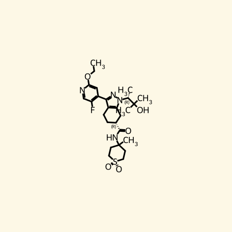 CCOc1cc(-c2nn([C@H](C)C(C)(C)O)c3c2CC[C@@H](C(=O)NC2(C)CCS(=O)(=O)CC2)C3)c(F)cn1